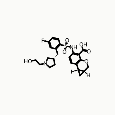 O=C(O)c1c(NS(=O)(=O)c2ccc(F)cc2C[C@@H]2CCN(CCO)C2)ccc2c1OC[C@@H]1C[C@H]21